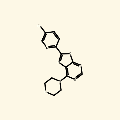 Clc1ccc(-c2nc3c(N4CCOCC4)ncnc3s2)nc1